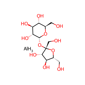 OC[C@H]1O[C@@](CO)(O[C@H]2O[C@H](CO)[C@@H](O)[C@H](O)[C@H]2O)[C@@H](O)[C@@H]1O.[AlH3]